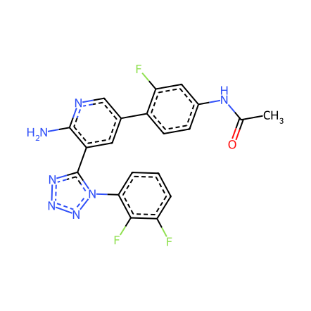 CC(=O)Nc1ccc(-c2cnc(N)c(-c3nnnn3-c3cccc(F)c3F)c2)c(F)c1